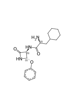 N[C@@H](CC1CCCCC1)C(=O)N[C@@H]1C(=O)N[C@H]1Oc1ccccc1